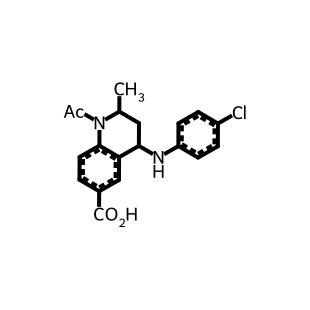 CC(=O)N1c2ccc(C(=O)O)cc2C(Nc2ccc(Cl)cc2)CC1C